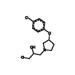 [O]CC(O)CN1CCC(Oc2ccc(Cl)cc2)C1